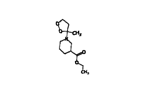 CCOC(=O)C1CCCN(C2(C)CCOO2)C1